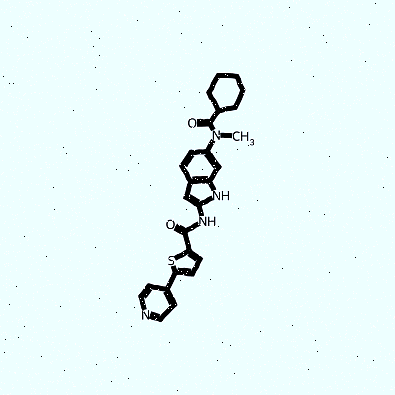 CN(C(=O)C1CCCCC1)c1ccc2cc(NC(=O)c3ccc(-c4ccncc4)s3)[nH]c2c1